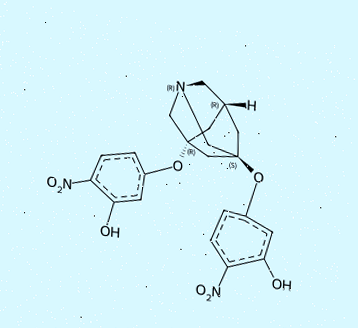 O=[N+]([O-])c1ccc(O[C@@]23C[C@@H]4C[N@](C2)C[C@](Oc2ccc([N+](=O)[O-])c(O)c2)(C4)C3)cc1O